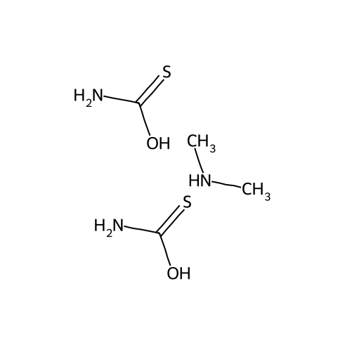 CNC.NC(O)=S.NC(O)=S